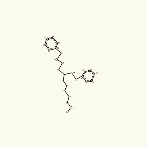 COCCCCCC(CCSCc1ccccc1)SCc1ccccc1